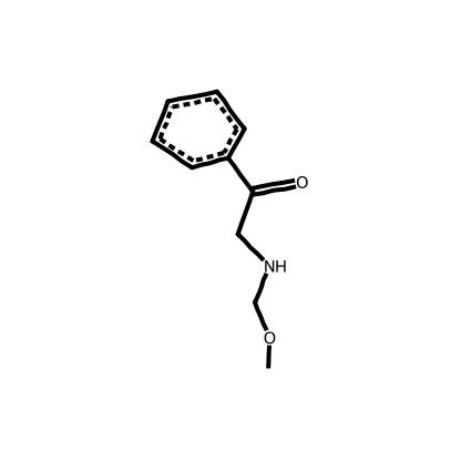 COCNCC(=O)c1ccccc1